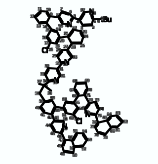 CC(C)(C)c1ccc(-c2ccc(-c3ccccc3-c3cc(Cl)cc(-c4ccccc4-c4ccc(-c5ccc(C(C)(C)Cc6ccc(-c7ccc(-c8cccc9ccccc89)nc7)c(-c7cc(Cl)cc(-c8ccccc8-c8ccc(-c9cccc%10ccccc9%10)nc8)c7)c6)nc5)nc4)c3)cn2)cn1